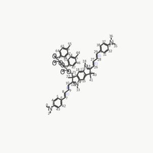 CN(C)c1ccc(/C=C/C=C/C2=[N+](C)c3cc4c(cc3C2(C)C)[N+](C)=C(/C=C/C=C/c2ccc(N(C)C)cc2)C4(C)C)cc1.Cc1ccc(S(=O)(=O)[O-])cc1.Cc1ccc(S(=O)(=O)[O-])cc1